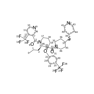 CCC[C@H]1N(C(=O)c2cnccc2C(F)(F)F)CCC[C@@]1(Oc1ccc(C(F)(F)F)cc1)C(=O)N1CCC(Sc2ccncc2)CC1